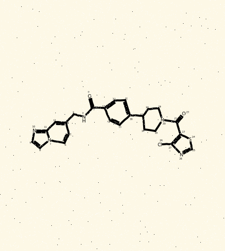 O=C(NCc1ccn2ccnc2c1)c1ccc(C2CCN(C(=O)c3scnc3Cl)CC2)cc1